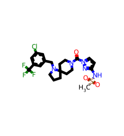 CS(=O)(=O)Nc1ccn(C(=O)N2CCC3(CCCN3Cc3cc(Cl)cc(C(F)(F)F)c3)CC2)n1